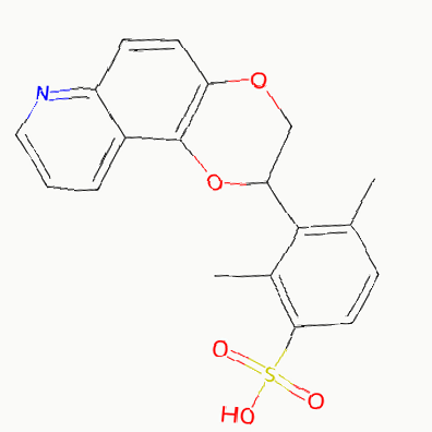 Cc1ccc(S(=O)(=O)O)c(C)c1C1COc2ccc3ncccc3c2O1